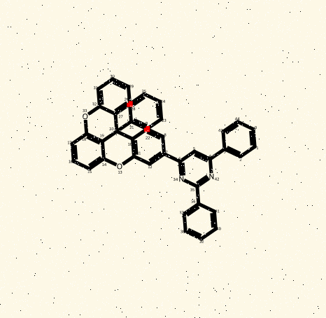 c1ccc(-c2cc(-c3ccc4c(c3)Oc3cccc5c3C4(c3ccccc3)c3ccccc3O5)nc(-c3ccccc3)n2)cc1